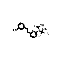 CC(C)(C)N(C(=O)O)c1cccc(CCc2cccc(N)c2)n1